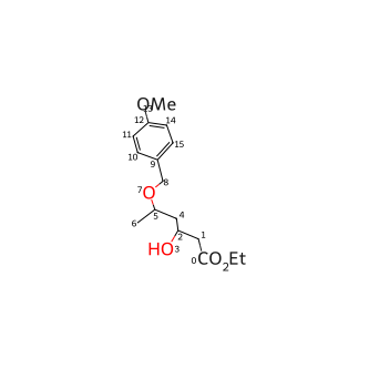 CCOC(=O)CC(O)CC(C)OCc1ccc(OC)cc1